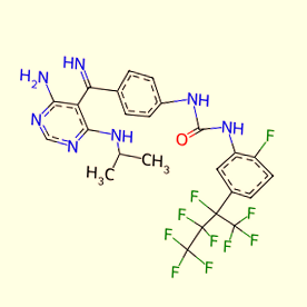 CC(C)Nc1ncnc(N)c1C(=N)c1ccc(NC(=O)Nc2cc(C(F)(C(F)(F)F)C(F)(F)C(F)(F)F)ccc2F)cc1